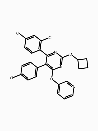 Clc1ccc(-c2c(Oc3cccnc3)nc(OC3CCC3)nc2-c2ccc(Cl)cc2Cl)cc1